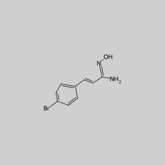 NC(C=Cc1ccc(Br)cc1)=NO